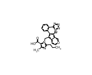 CCCc1nc(C)c(C(=O)O)n1Cc1c2ccocc-2c(Br)c1-c1ccccc1-c1nnn[nH]1